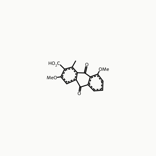 COc1cccc2c1C(=O)c1c(cc(OC)c(C(=O)O)c1C)C2=O